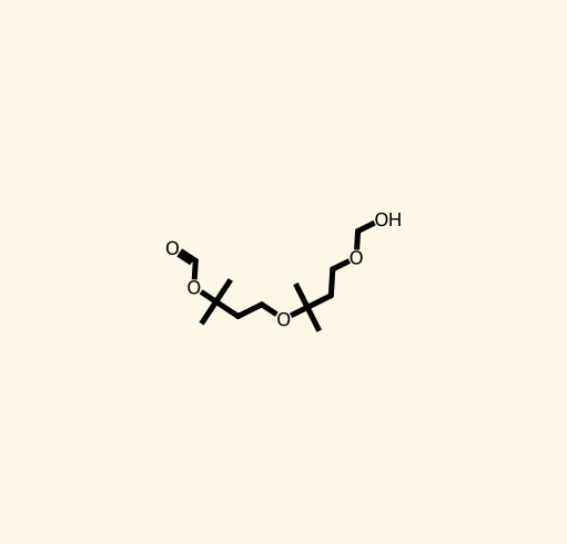 CC(C)(CCOC(C)(C)CCOCO)OC=O